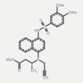 C#CCN(c1ccc(NS(=O)(=O)c2ccc(OC)c(OC)c2)c2ccccc12)[C@@H](C)CC(=O)OC